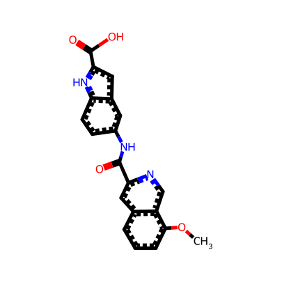 COc1cccc2cc(C(=O)Nc3ccc4[nH]c(C(=O)O)cc4c3)ncc12